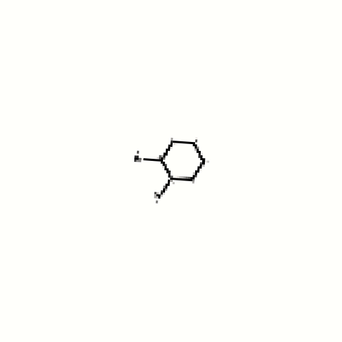 BrC1C[C]CCC1Br